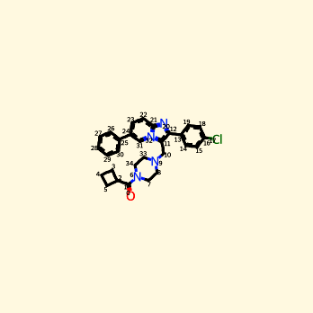 O=C(C1CCC1)N1CCN(Cc2c(-c3ccc(Cl)cc3)nc3ccc(-c4ccccc4)cn23)CC1